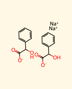 O=C([O-])C(O)c1ccccc1.O=C([O-])C(O)c1ccccc1.[Na+].[Na+]